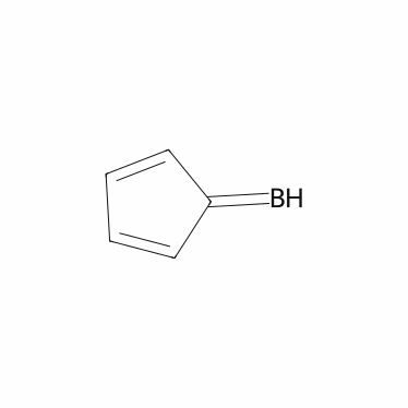 B=C1C=CC=C1